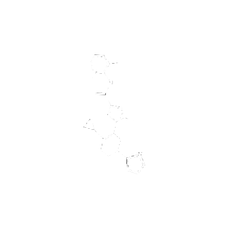 Cn1nc(C(=O)Nc2c(F)cccc2F)cc1C1=C(C2CC2)CCN(c2nccs2)C1